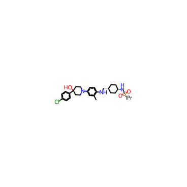 Cc1cc(N2CCC(O)(c3ccc(Cl)cc3)CC2)ccc1NC[C@H]1CC[C@H](NS(=O)(=O)C(C)C)CC1